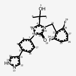 CC(C)(O)c1nn(-c2ccc(-c3cn[nH]c3)cc2)c(=O)n1Cc1c(F)cccc1F